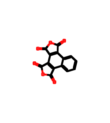 O=c1oc(=O)c2c1c1ccccc1c1c(=O)oc(=O)c12